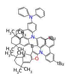 CC(C)(C)c1ccc(N2c3cc(C(C)(C)C)cc4c3B(c3cc5c(cc3N4c3ccc(N(c4ccccc4)c4ccccc4)cc3-c3ccccc3)C(C)(C)CCC5(C)C)c3c2oc2cc4c(cc32)C(C)(C)CCC4(C)C)c(-c2ccccc2)c1